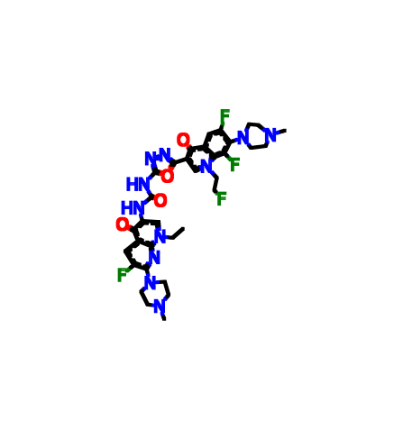 CCn1cc(NC(=O)Nc2nnc(-c3cn(CCF)c4c(F)c(N5CCN(C)CC5)c(F)cc4c3=O)o2)c(=O)c2cc(F)c(N3CCN(C)CC3)nc21